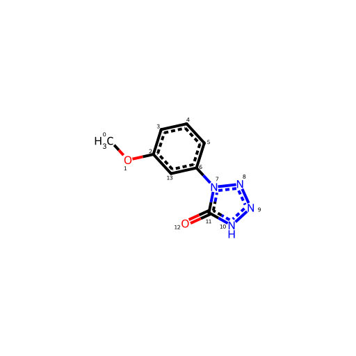 COc1cccc(-n2nn[nH]c2=O)c1